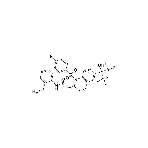 O=C(C[C@@H]1CCc2cc(C(O)(C(F)(F)F)C(F)(F)F)ccc2N1S(=O)(=O)c1ccc(F)cc1)Nc1ccccc1CO